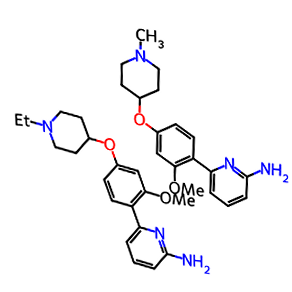 CCN1CCC(Oc2ccc(-c3cccc(N)n3)c(OC)c2)CC1.COc1cc(OC2CCN(C)CC2)ccc1-c1cccc(N)n1